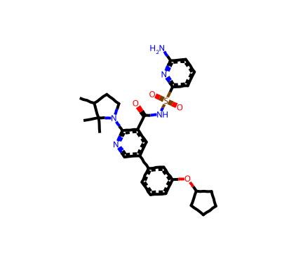 CC1CCN(c2ncc(-c3cccc(OC4CCCC4)c3)cc2C(=O)NS(=O)(=O)c2cccc(N)n2)C1(C)C